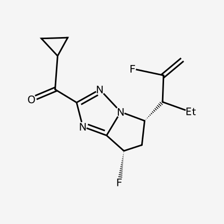 C=C(F)C(CC)[C@@H]1C[C@H](F)c2nc(C(=O)C3CC3)nn21